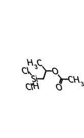 CC(=O)OC(C)C[SiH](Cl)Cl